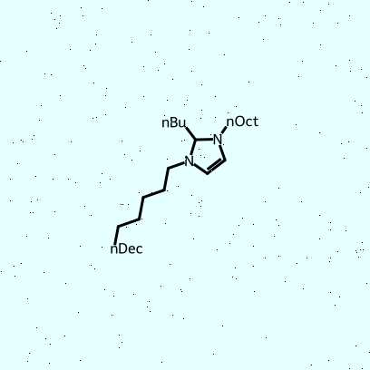 CCCCCCCCCCCCCCCN1C=CN(CCCCCCCC)C1CCCC